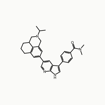 CC(C)N1Cc2cc(-c3cnc4[nH]cc(-c5ccc(C(=O)N(C)C)cc5)c4c3)cc3c2C(CCC3)C1